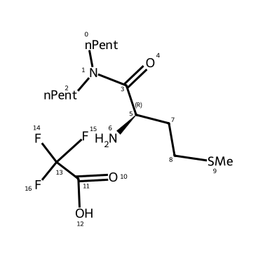 CCCCCN(CCCCC)C(=O)[C@H](N)CCSC.O=C(O)C(F)(F)F